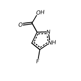 O=C(O)c1cc(F)[nH]n1